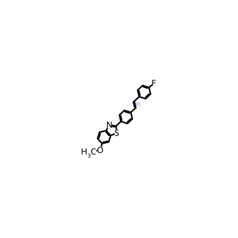 COc1ccc2nc(-c3ccc(/C=C/c4ccc(F)cc4)cc3)sc2c1